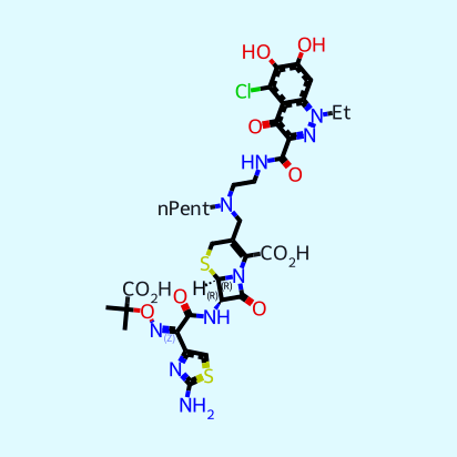 CCCCCN(CCNC(=O)c1nn(CC)c2cc(O)c(O)c(Cl)c2c1=O)CC1=C(C(=O)O)N2C(=O)[C@@H](NC(=O)/C(=N\OC(C)(C)C(=O)O)c3csc(N)n3)[C@H]2SC1